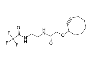 O=C(COC1C#CCCCCC1)NCCNC(=O)C(F)(F)F